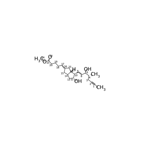 CC#CC[C@@H](C)[C@H](O)/C=C/[C@H]1[C@H](O)CC2C/C(=C\CCCC(=O)OC)C[C@@H]21